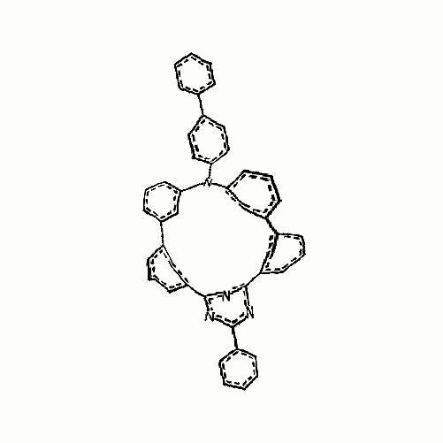 c1ccc(-c2ccc(N3c4cccc(c4)-c4cccc(c4)-c4nc(-c5ccccc5)nc(n4)-c4cccc(c4)-c4cccc3c4)cc2)cc1